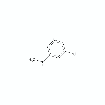 CPc1cncc(Cl)c1